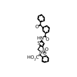 O=C(Nc1cc2c(s1)CN([C@@H](C(=O)O)c1ccccc1)S2(=O)=O)c1cccc(C(=O)c2ccccc2)c1